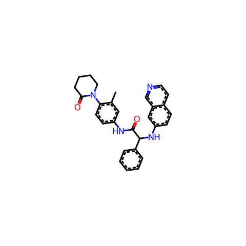 Cc1cc(NC(=O)C(Nc2ccc3ccncc3c2)c2ccccc2)ccc1N1CCCCC1=O